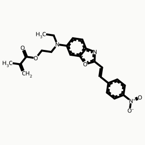 C=C(C)C(=O)OCCN(CC)c1ccc2nc(C=Cc3ccc([N+](=O)[O-])cc3)oc2c1